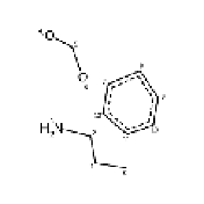 CCCN.[O]C[O].c1ccccc1